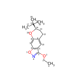 CCOc1noc2cc3c(cc12)CC[C@H](C(C)(C)C)O3